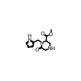 COC(=O)C1CNCC(=O)N1Cc1ccc[nH]1